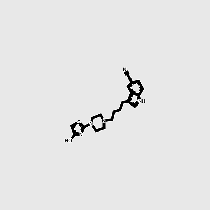 N#Cc1ccc2[nH]cc(CCCCN3CCN(c4nc(O)cs4)CC3)c2c1